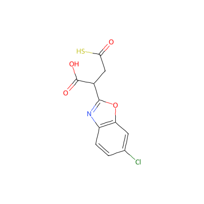 O=C(S)CC(C(=O)O)c1nc2ccc(Cl)cc2o1